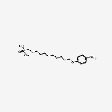 O=[N+]([O-])c1ccc(OCCCCCCCCCCCP(=O)(O)O)cc1